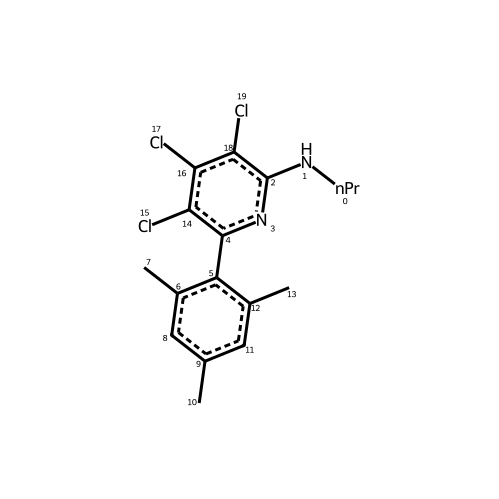 CCCNc1nc(-c2c(C)cc(C)cc2C)c(Cl)c(Cl)c1Cl